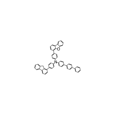 c1ccc(-c2ccc(-c3ccc(N(c4ccc(-c5cccc6c5Cc5ccccc5-6)cc4)c4ccc(-c5cccc6c5oc5ccccc56)cc4)cc3)cc2)cc1